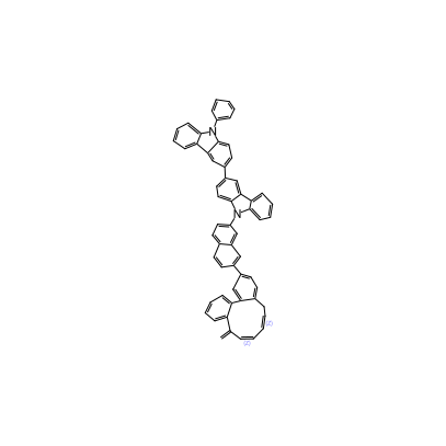 C=C1/C=C\C=C/Cc2ccc(-c3ccc4ccc(-n5c6ccccc6c6cc(-c7ccc8c(c7)c7ccccc7n8-c7ccccc7)ccc65)cc4c3)cc2-c2ccccc21